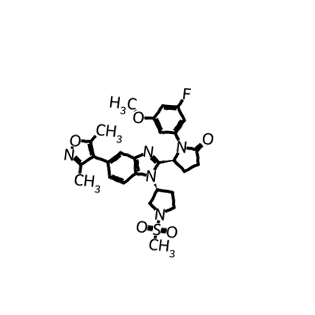 COc1cc(F)cc(N2C(=O)CC[C@H]2c2nc3cc(-c4c(C)noc4C)ccc3n2[C@@H]2CCN(S(C)(=O)=O)C2)c1